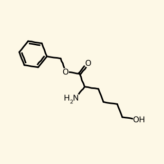 NC(CCCCO)C(=O)OCc1ccccc1